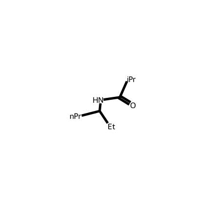 CCCC(CC)NC(=O)C(C)C